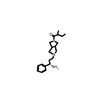 CCC(C)C(=O)N1CC2CN(CC[C@H](N)c3ccccc3)CC2C1